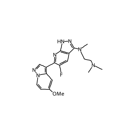 COc1ccn2ncc(-c3nc4[nH]nc(N(C)CCN(C)C)c4cc3F)c2c1